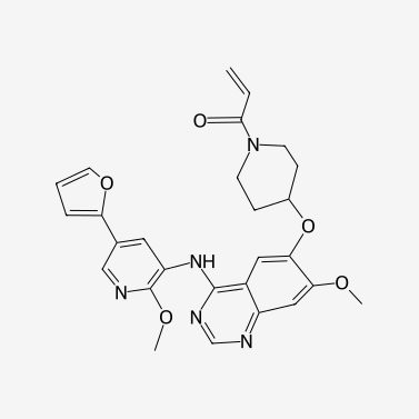 C=CC(=O)N1CCC(Oc2cc3c(Nc4cc(-c5ccco5)cnc4OC)ncnc3cc2OC)CC1